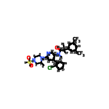 CC1CN(S(C)(=O)=O)CCN1c1cc(-c2ccccc2Cl)c(N(C)C(=O)C(C)(C)c2cc(C(F)(F)F)cc(C(F)(F)F)c2)cn1